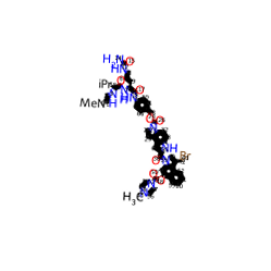 CNCCN[C@H](C(=O)N[C@@H](CCCNC(N)=O)C(=O)Nc1ccc(COC(=O)N2CCc3c2ccc2[nH]c(C(=O)N4C[C@@H](CBr)c5c4cc(OC(=O)N4CCN(C)CC4)c4ccccc54)cc32)cc1)C(C)C